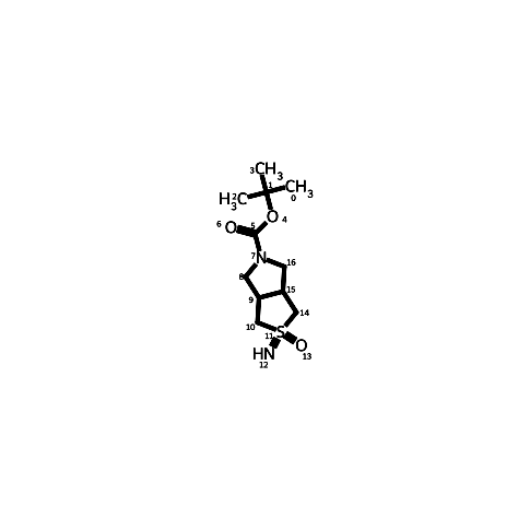 CC(C)(C)OC(=O)N1CC2CS(=N)(=O)CC2C1